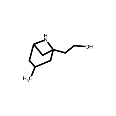 CC1CC2CC(CCO)(C1)N2